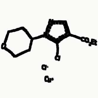 CCOC(=O)c1cnn(C2CCOCC2)c1Cl.[Cl-].[Cu+]